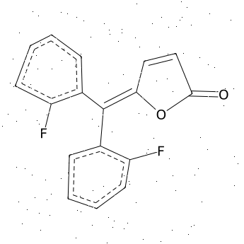 O=C1C=CC(=C(c2ccccc2F)c2ccccc2F)O1